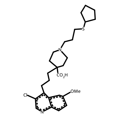 COc1ccc2ncc(Cl)c(CCCC3(C(=O)O)CCN(CCCSC4CCCC4)CC3)c2c1